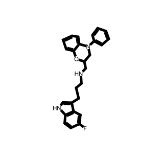 Fc1ccc2[nH]cc(CCCNCC3CN(c4ccccc4)c4ccccc4O3)c2c1